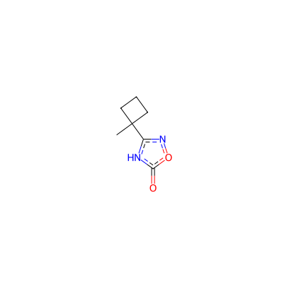 CC1(c2noc(=O)[nH]2)CCC1